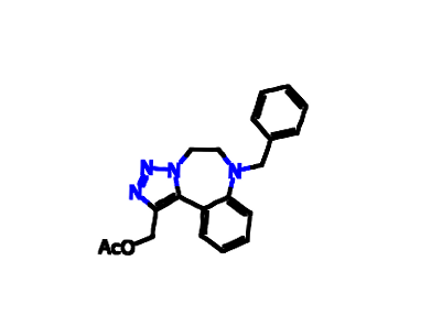 CC(=O)OCc1nnn2c1-c1ccccc1N(Cc1ccccc1)CC2